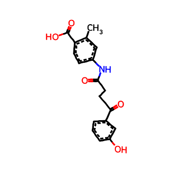 Cc1cc(NC(=O)CCC(=O)c2cccc(O)c2)ccc1C(=O)O